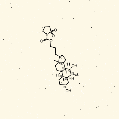 CC[C@H]1[C@@H](O)[C@@H]2[C@H](CC[C@]3(C)[C@@H](CCCOC(=O)N4CCCS4(=O)=O)CC[C@@H]23)[C@@]2(C)CC[C@@H](O)C[C@@H]12